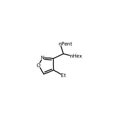 CCCCCCC(CCCCC)c1nocc1CC